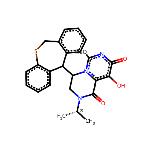 COc1nc(=O)c(O)c2n1C(C1c3ccccc3CSc3ccccc31)CN([C@H](C)C(F)(F)F)C2=O